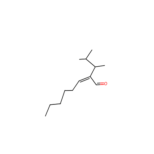 CCCCCC=C(C=O)C(C)C(C)C